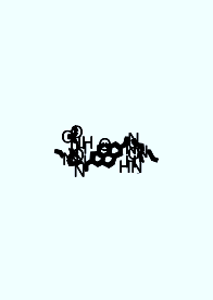 CCCN(Cc1ncc(-c2cc3c4c(ccc5cc(-c6cnc(CN(CCC)C(=O)CNC(=O)OC)[nH]6)cc(c54)CO3)c2)[nH]1)C(=O)CNC